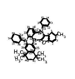 Cc1ccc2oc3c(c2c1)N(c1ccccc1)c1cccc2c1B3c1cc3c(cc1N2c1ccccc1)C(C)(C)CCC3(C)C